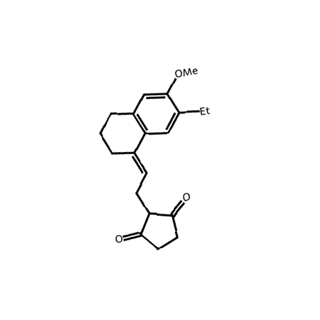 CCc1cc2c(cc1OC)CCCC2=CCC1C(=O)CCC1=O